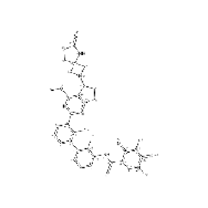 COc1nc(-c2cccc(-c3cccc(NC(=O)c4cn(C)c(=O)n(C)c4=O)c3F)c2F)cc2c1C(N1CC3(CCC(=O)N3)C1)CC2